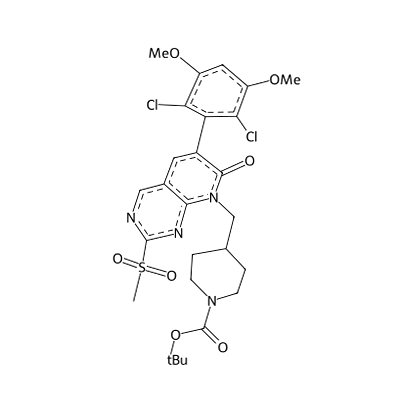 COc1cc(OC)c(Cl)c(-c2cc3cnc(S(C)(=O)=O)nc3n(CC3CCN(C(=O)OC(C)(C)C)CC3)c2=O)c1Cl